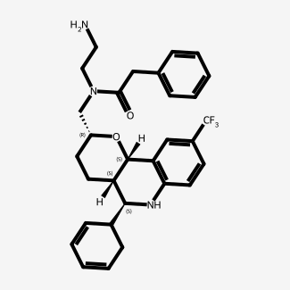 NCCN(C[C@H]1CC[C@@H]2[C@H](O1)c1cc(C(F)(F)F)ccc1N[C@H]2C1C=CC=CC1)C(=O)Cc1ccccc1